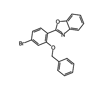 Brc1ccc(-c2nc3ccccc3o2)c(OCc2ccccc2)c1